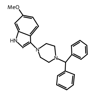 COc1ccc2c(N3CCN(C(c4ccccc4)c4ccccc4)CC3)[c][nH]c2c1